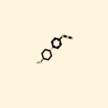 CCC[C@H]1CC[C@H](c2ccc(N=C=S)cc2)CC1